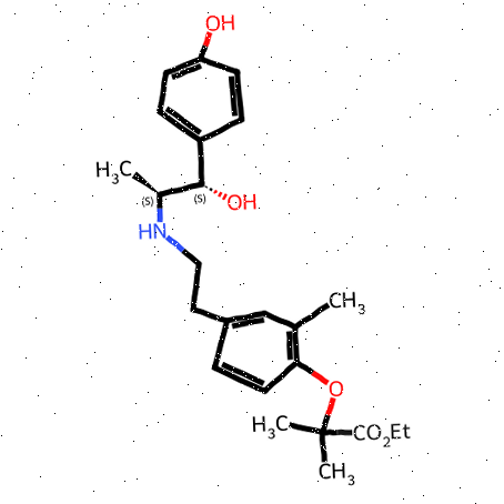 CCOC(=O)C(C)(C)Oc1ccc(CCN[C@@H](C)[C@@H](O)c2ccc(O)cc2)cc1C